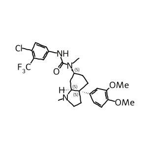 COc1ccc([C@@]23CC[C@H](N(C)C(=O)Nc4ccc(Cl)c(C(F)(F)F)c4)C[C@@H]2N(C)CC3)cc1OC